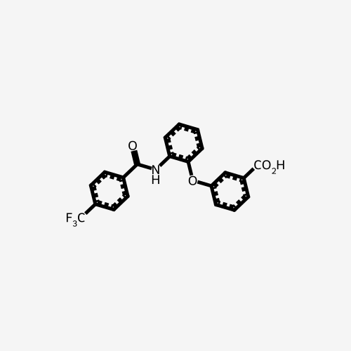 O=C(O)c1cccc(Oc2ccccc2NC(=O)c2ccc(C(F)(F)F)cc2)c1